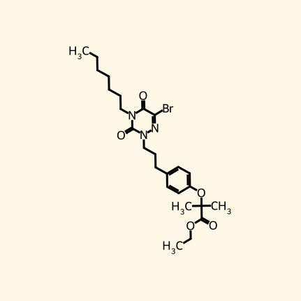 CCCCCCCn1c(=O)c(Br)nn(CCCc2ccc(OC(C)(C)C(=O)OCC)cc2)c1=O